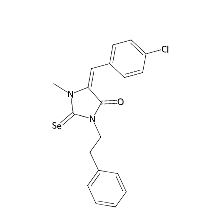 CN1C(=[Se])N(CCc2ccccc2)C(=O)C1=Cc1ccc(Cl)cc1